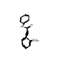 COc1ccccc1C#CC(=O)Nc1ccccc1